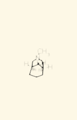 CC1[C@@H]2CCC[C@H]1CN(C)C2